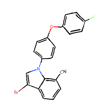 N#Cc1cccc2c(Br)cn(-c3ccc(Oc4ccc(F)cc4)cc3)c12